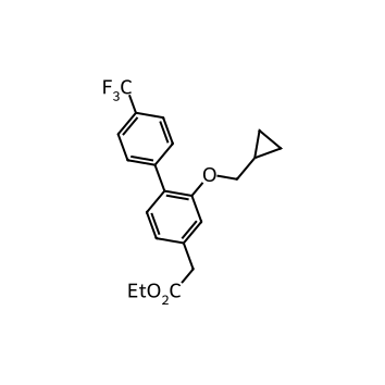 CCOC(=O)Cc1ccc(-c2ccc(C(F)(F)F)cc2)c(OCC2CC2)c1